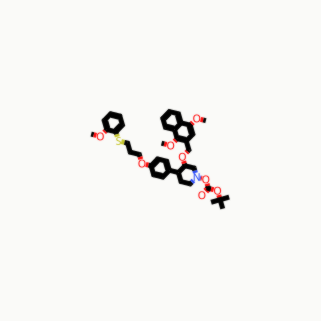 COc1ccccc1SCCCOc1ccc(C2CCN(OC(=O)OC(C)(C)C)CC2OCc2cc(OC)c3ccccc3c2OC)cc1